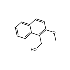 COc1ccc2c[c]ccc2c1CO